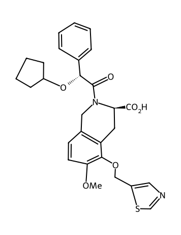 COc1ccc2c(c1OCc1cncs1)C[C@H](C(=O)O)N(C(=O)[C@H](OC1CCCC1)c1ccccc1)C2